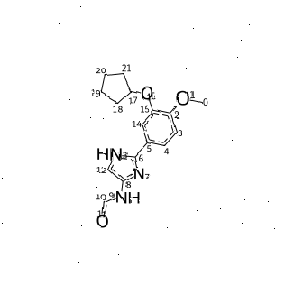 COc1ccc(-c2nc(NC=O)c[nH]2)cc1OC1CCCC1